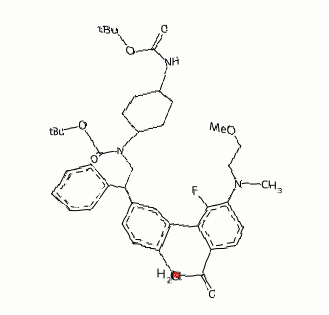 COCCN(C)c1ccc(C(N)=O)c(-c2cc(C(CN(C(=O)OC(C)(C)C)C3CCC(NC(=O)OC(C)(C)C)CC3)c3ccccc3)ccc2Cl)c1F